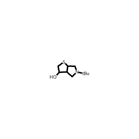 CC(C)(C)N1CC2SCC(O)C2C1